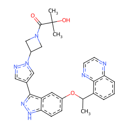 CC(Oc1ccc2[nH]nc(-c3cnn(C4CN(C(=O)C(C)(C)O)C4)c3)c2c1)c1cccc2nccnc12